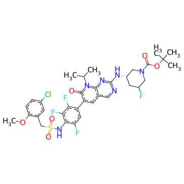 COc1ccc(Cl)cc1CS(=O)(=O)Nc1c(F)cc(-c2cc3cnc(N[C@H]4C[C@H](F)CN(C(=O)OC(C)(C)C)C4)nc3n(C(C)C)c2=O)c(F)c1F